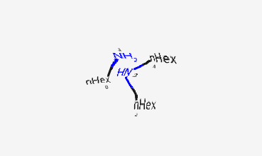 CCCCCCN.CCCCCCNCCCCCC